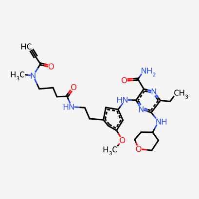 C#CC(=O)N(C)CCCC(=O)NCCc1cc(Nc2nc(NC3CCOCC3)c(CC)nc2C(N)=O)cc(OC)c1